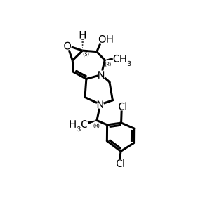 C[C@H](c1cc(Cl)ccc1Cl)N1CCN2C(=CC3O[C@H]3C(O)[C@H]2C)C1